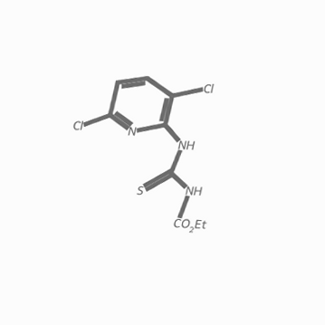 CCOC(=O)NC(=S)Nc1nc(Cl)ccc1Cl